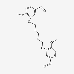 COc1ccc(C=O)cc1OCCCCCOc1cc(C=O)ccc1OC